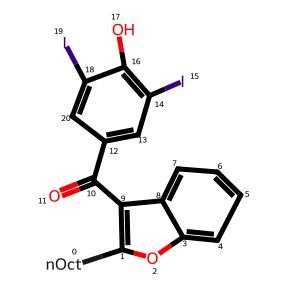 CCCCCCCCc1oc2ccccc2c1C(=O)c1cc(I)c(O)c(I)c1